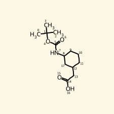 CC(C)(C)OC(=O)NC1CCCC(CC(=O)O)C1